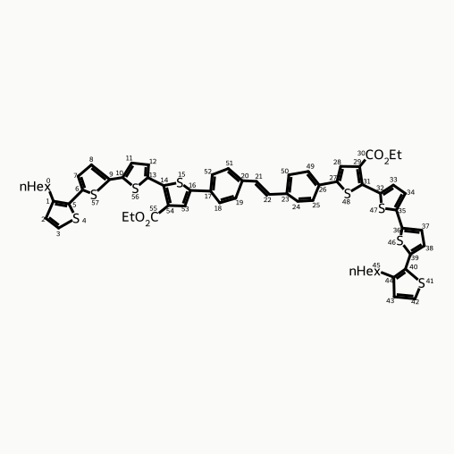 CCCCCCc1ccsc1-c1ccc(-c2ccc(-c3sc(-c4ccc(/C=C/c5ccc(-c6cc(C(=O)OCC)c(-c7ccc(-c8ccc(-c9sccc9CCCCCC)s8)s7)s6)cc5)cc4)cc3C(=O)OCC)s2)s1